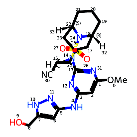 COc1cc(Nc2cc(CO)[nH]n2)nc(N(C)[C@H]2C[C@H]3CCC[C@@H](C2)N3S(=O)(=O)CCC#N)n1